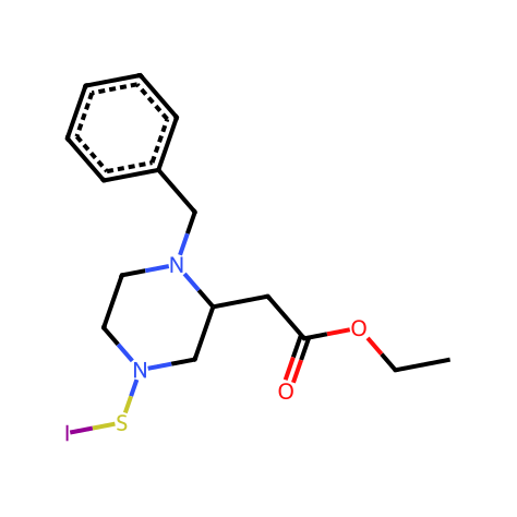 CCOC(=O)CC1CN(SI)CCN1Cc1ccccc1